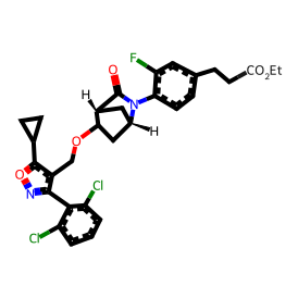 CCOC(=O)CCc1ccc(N2C(=O)[C@@H]3C[C@H]2CC3OCc2c(-c3c(Cl)cccc3Cl)noc2C2CC2)c(F)c1